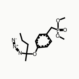 CCCC(C)(N=[N+]=[N-])Oc1ccc(CP(=O)(OC)OC)cc1